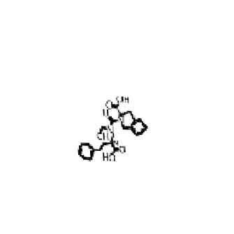 CCN(C[C@H](CCc1ccccc1)C(=O)O)C(=O)N1Cc2ccccc2C[C@H]1C(=O)O